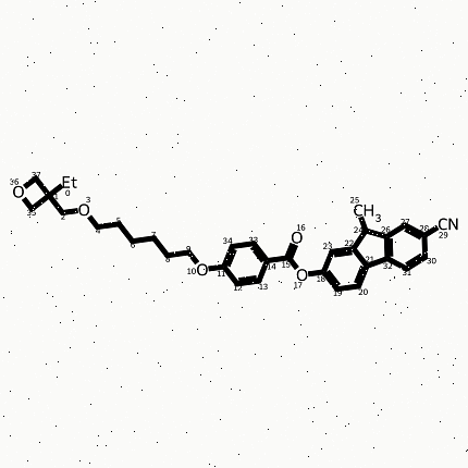 CCC1(COCCCCCCOc2ccc(C(=O)Oc3ccc4c(c3)C(C)c3cc(C#N)ccc3-4)cc2)COC1